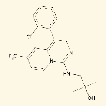 CC(C)(O)CNC1=NCC(c2ccccc2Cl)=C2C=C(C(F)(F)F)C=CN12